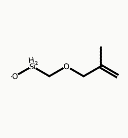 C=C(C)COC[SiH2][O]